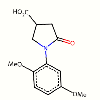 COc1ccc(OC)c(N2CC(C(=O)O)CC2=O)c1